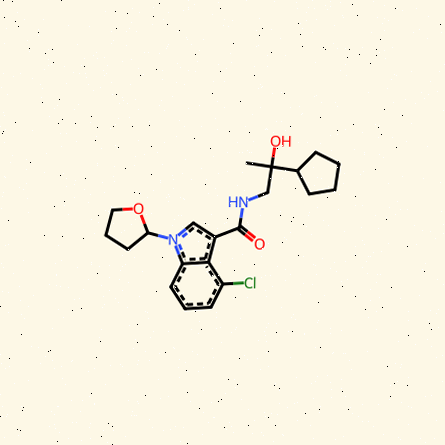 CC(O)(CNC(=O)c1cn(C2CCCO2)c2cccc(Cl)c12)C1CCCC1